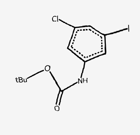 CC(C)(C)OC(=O)Nc1cc(Cl)cc(I)c1